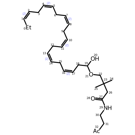 CC/C=C\C/C=C\C/C=C\C/C=C\C/C=C\C/C=C\CC(O)OCC(C)(C)CC(=O)NCCC(C)=O